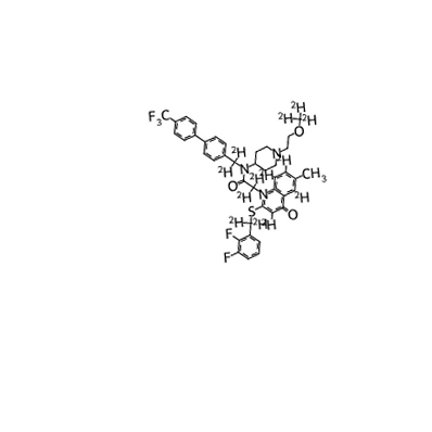 [2H]c1c(C)c([2H])c2c(=O)c([2H])c(SC([2H])([2H])c3cccc(F)c3F)n(C([2H])([2H])C(=O)N(C3CCN(CCOC([2H])([2H])[2H])CC3)C([2H])([2H])c3ccc(-c4ccc(C(F)(F)F)cc4)cc3)c2c1[2H]